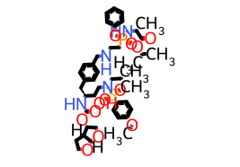 COc1ccc(S(=O)(=O)N(CC(C)C)C[C@@H](O)[C@H](Cc2ccc(CNCCP(=O)(N[C@@H](C)C(=O)OC(C)C)Oc3ccccc3)cc2)NC(=O)O[C@H]2CO[C@H]3OCC[C@H]32)cc1